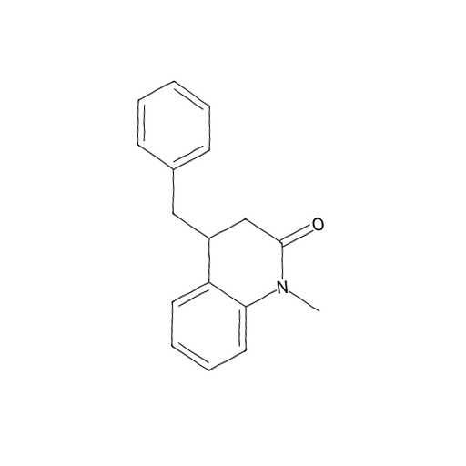 CN1C(=O)CC(Cc2ccccc2)c2ccccc21